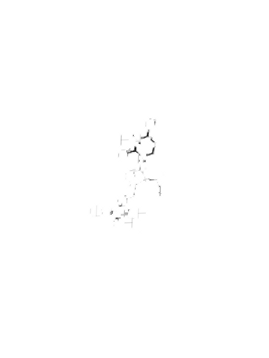 CC(C)(C)[Si](C)(C)OCC1OC(n2ccc(=O)[nH]c2=O)C1CI